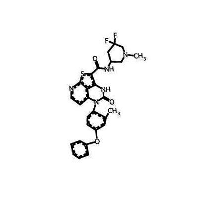 Cc1cc(Oc2ccccc2)ccc1N1C(=O)Nc2c(C(=O)NC3CN(C)CC(F)(F)C3)sc3nccc1c23